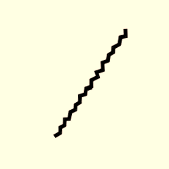 CCCCCCCCCCCC/C=C/CCCCCCCCCCCCC